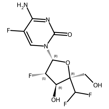 Nc1nc(=O)n([C@@H]2O[C@@](CO)(C(F)F)[C@@H](O)[C@@H]2F)cc1F